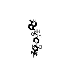 Cc1nccc2c(NC(=O)NC3CCN(c4ncc(C(F)(F)F)cc4Cl)CC3)cccc12